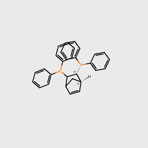 C1=C[C@H]2CC1C(P(c1ccccc1)c1ccccc1)[C@@H]2P(c1ccccc1)c1ccccc1